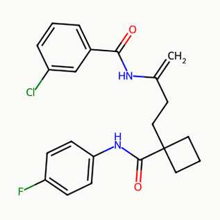 C=C(CCC1(C(=O)Nc2ccc(F)cc2)CCC1)NC(=O)c1cccc(Cl)c1